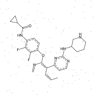 C=N/C(Oc1ccc(NC(=O)C2CC2)c(F)c1F)=C(\C=C/C)c1ccnc(NC2CCCNC2)n1